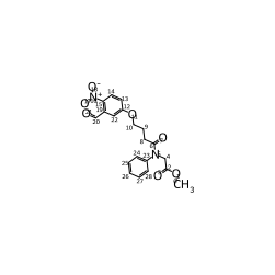 COC(=O)CN(C(=O)CCCOc1ccc([N+](=O)[O-])c(C=O)c1)c1ccccc1